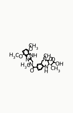 COc1ccc(OC)c2[nH]c(CN(C)C(=O)c3ccc4c(c3)CN(C)C(=O)[C@H](C(C)C(=O)O)N4)nc12